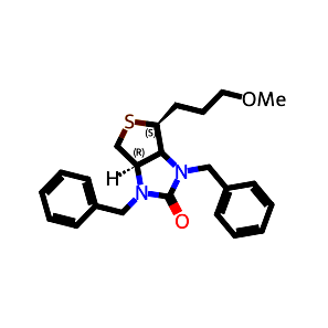 COCCC[C@@H]1SC[C@H]2C1N(Cc1ccccc1)C(=O)N2Cc1ccccc1